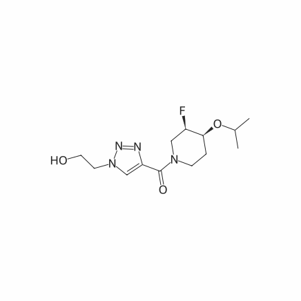 CC(C)O[C@H]1CCN(C(=O)c2cn(CCO)nn2)C[C@H]1F